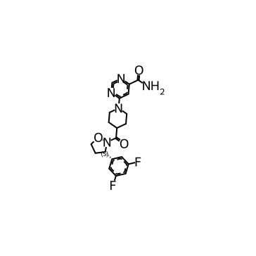 NC(=O)c1cc(N2CCC(C(=O)N3OCC[C@H]3c3cc(F)cc(F)c3)CC2)ncn1